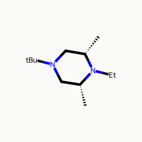 CCN1[C@H](C)CN(C(C)(C)C)C[C@@H]1C